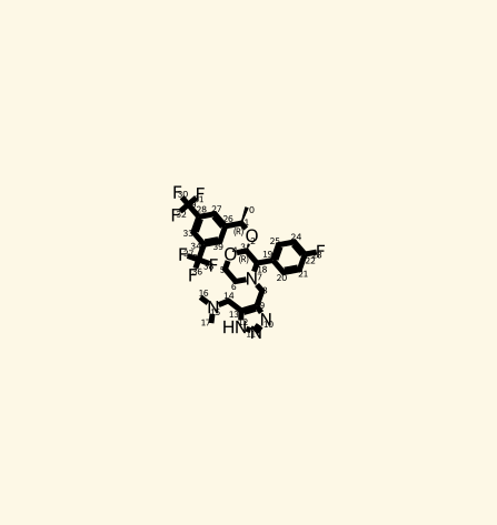 C[C@@H](O[C@H]1OCCN(Cc2nn[nH]c2CN(C)C)C1c1ccc(F)cc1)c1cc(C(F)(F)F)cc(C(F)(F)F)c1